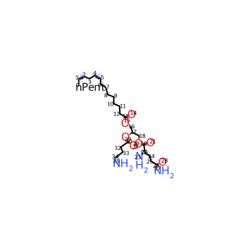 CCCCC/C=C\C/C=C\CCCCCCCC(=O)OCC(COC(=O)[C@@H](N)CCC(N)=O)OC(=O)CCCN